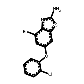 Nc1nc2c(Br)cc(Oc3ccccc3Cl)cc2s1